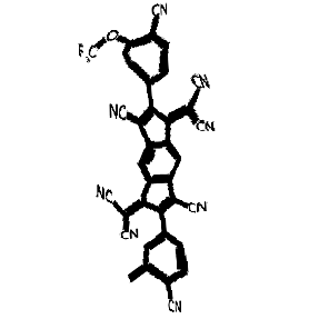 Cc1cc(C2=C(C#N)c3cc4c(cc3C2=C(C#N)C#N)C(C#N)=C(c2ccc(C#N)c(OC(F)(F)F)c2)C4=C(C#N)C#N)ccc1C#N